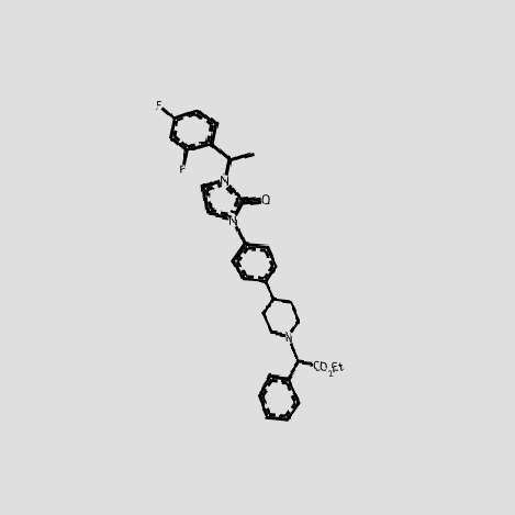 CCOC(=O)C(c1ccccc1)N1CCC(c2ccc(-n3ccn(C(C)c4ccc(F)cc4F)c3=O)cc2)CC1